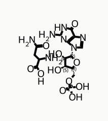 NC(=O)CC(N)C(=O)O.Nc1nc2c(ncn2[C@@H]2O[C@H](COP(=O)(O)O)[C@@H](O)[C@H]2O)c(=O)[nH]1